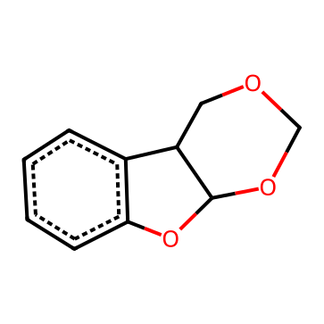 c1ccc2c(c1)OC1OCOCC21